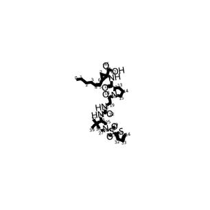 CCCC/C=C\C1C[C@]1(NC(=O)[C@@H]1CCCN1C(=O)CNC(=O)NC(CN(C)S(=O)(=O)c1cccs1)C(C)(C)C)C(=O)O